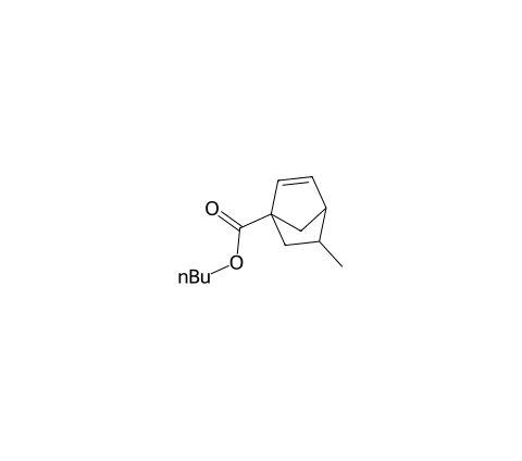 CCCCOC(=O)C12C=CC(C1)C(C)C2